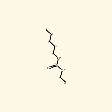 CCCCCOS(=O)OCC